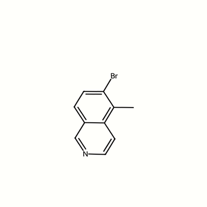 Cc1c(Br)ccc2cnccc12